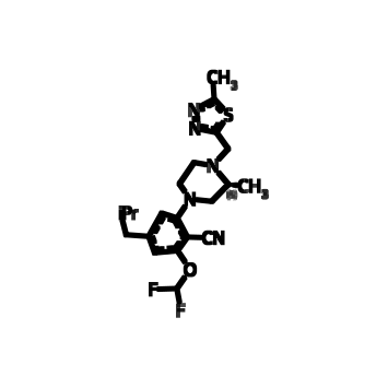 Cc1nnc(CN2CCN(c3cc(CC(C)C)cc(OC(F)F)c3C#N)C[C@@H]2C)s1